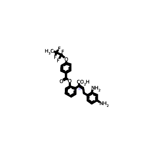 CC(F)(F)C(F)(F)Oc1ccc(C(=O)Oc2ccccc2/C(=C\Cc2ccc(N)cc2N)C(=O)O)cc1